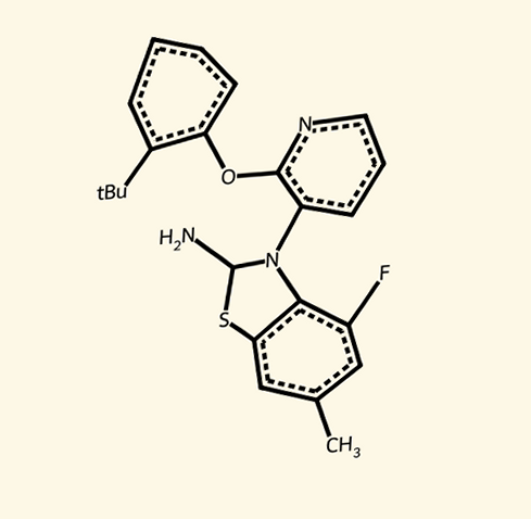 Cc1cc(F)c2c(c1)SC(N)N2c1cccnc1Oc1ccccc1C(C)(C)C